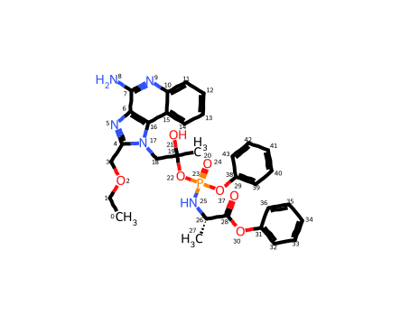 CCOCc1nc2c(N)nc3ccccc3c2n1CC(C)(O)OP(=O)(N[C@@H](C)C(=O)Oc1ccccc1)Oc1ccccc1